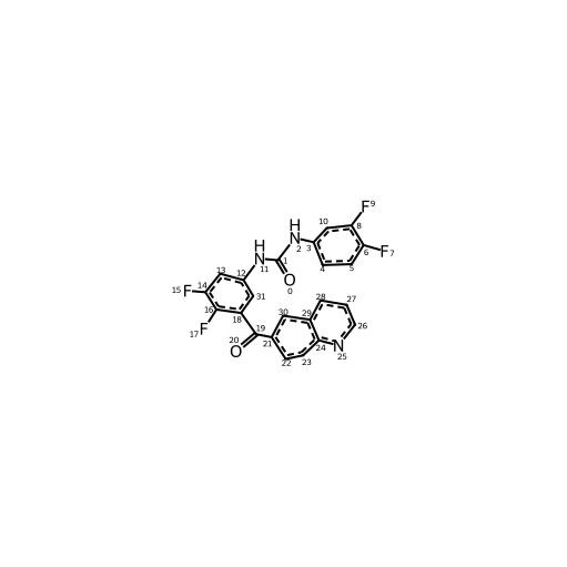 O=C(Nc1ccc(F)c(F)c1)Nc1cc(F)c(F)c(C(=O)c2ccc3ncccc3c2)c1